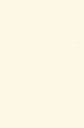 CC/C(=C\C=N)OCCNC(=O)OC(C)(C)C